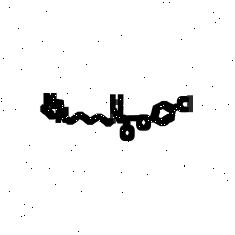 O=C(COc1ccc(Cl)cc1)NCCCCCn1ccnc1